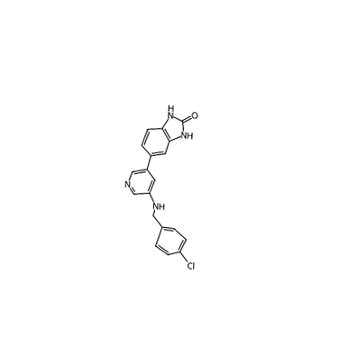 O=c1[nH]c2ccc(-c3cncc(NCc4ccc(Cl)cc4)c3)cc2[nH]1